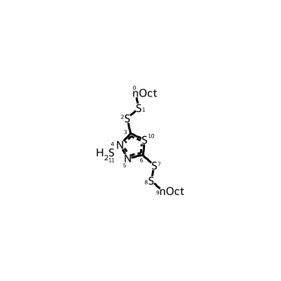 CCCCCCCCSSc1nnc(SSCCCCCCCC)s1.S